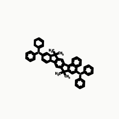 CC1(C)c2cc3c(cc2-c2c1cc(N(c1ccccc1)c1ccccc1)c1ccccc21)C(C)(C)C1C=C(N(C2=CC=CCC2)c2ccccc2)C=CC31